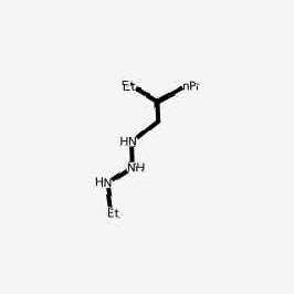 CCCC(CC)CNNNCC